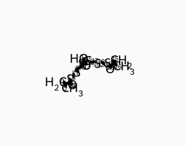 C=C(C)C(=O)SCCSCCSP(=O)(O)SCCSCCSC(=O)C(=C)C